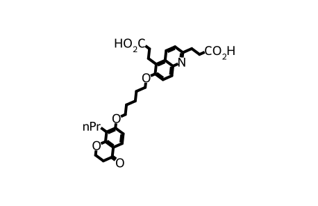 CCCc1c(OCCCCCOc2ccc3nc(CCC(=O)O)ccc3c2CCC(=O)O)ccc2c1OCCC2=O